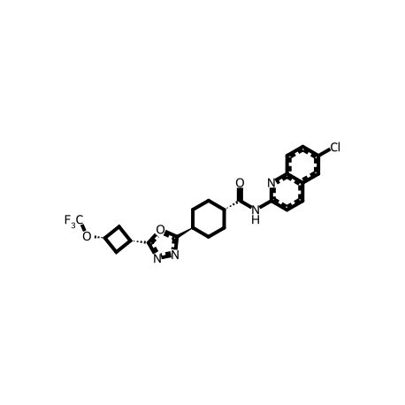 O=C(Nc1ccc2cc(Cl)ccc2n1)[C@H]1CC[C@H](c2nnc([C@H]3C[C@@H](OC(F)(F)F)C3)o2)CC1